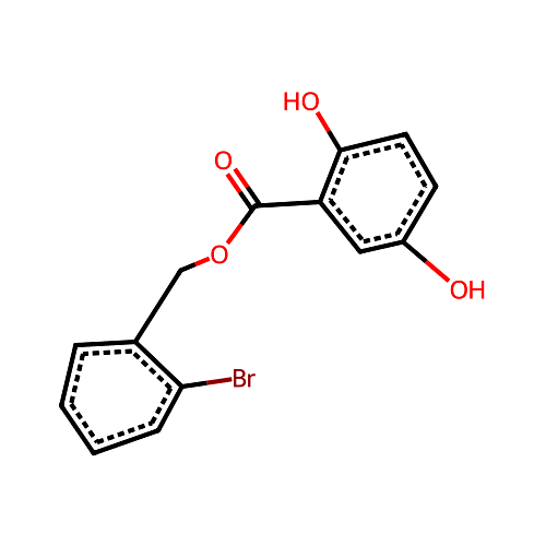 O=C(OCc1ccccc1Br)c1cc(O)ccc1O